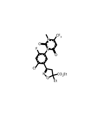 CCOC(=O)C1(CC)CC(c2cc(-n3c(=O)cc(C(F)(F)F)n(C)c3=O)c(F)cc2Cl)=NO1